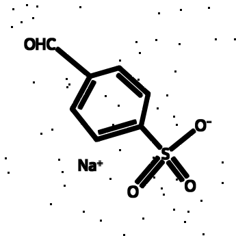 O=Cc1ccc(S(=O)(=O)[O-])cc1.[Na+]